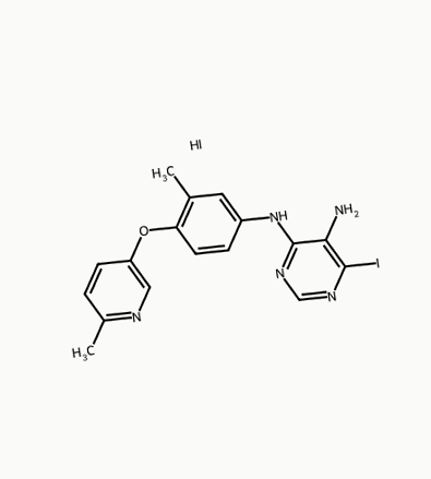 Cc1ccc(Oc2ccc(Nc3ncnc(I)c3N)cc2C)cn1.I